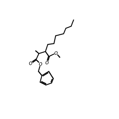 CCCCCCCC(C(=O)OC)C(C)C(=O)OCc1ccccc1